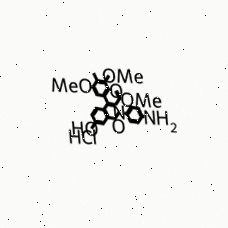 COC(=O)c1c(-c2cc(OC)c(C)c(OC)c2)c2ccc(O)cc2c(=O)n1-c1ccc(N)cc1.Cl